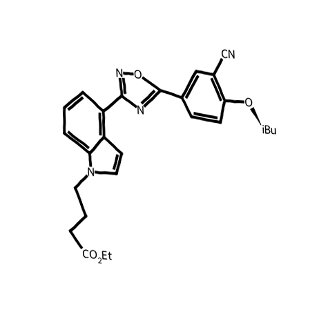 CCOC(=O)CCCn1ccc2c(-c3noc(-c4ccc(O[C@H](C)CC)c(C#N)c4)n3)cccc21